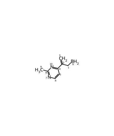 BCC(=C)c1ccnc(C)n1